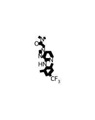 Cc1cc(C(F)(F)F)cc(C)c1Nc1nccc2c1ncn2CC(=O)N(C)C